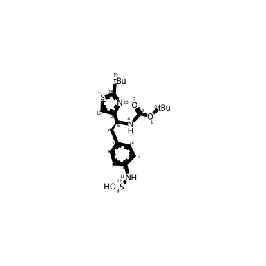 CC(C)(C)OC(=O)N[C@@H](Cc1ccc(NS(=O)(=O)O)cc1)c1csc(C(C)(C)C)n1